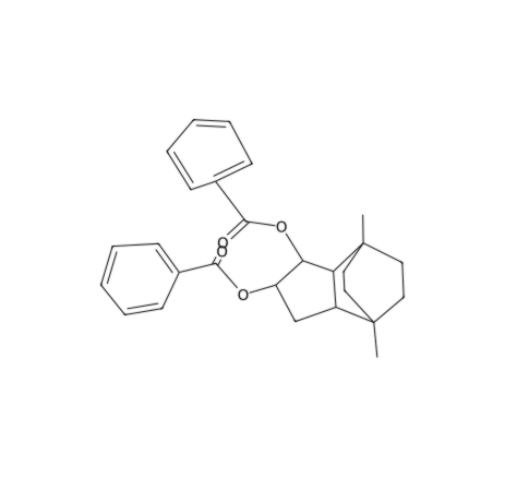 CC12CCC(C)(CC1)C1C(OC(=O)c3ccccc3)C(OC(=O)c3ccccc3)CC12